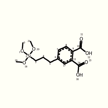 CO[Si](CCCc1ccc(C(=O)O)c(C(=O)O)c1)(OC)OC